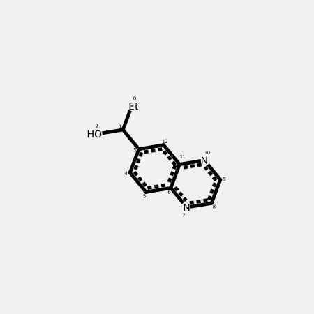 CCC(O)c1ccc2nccnc2c1